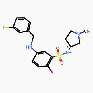 N#CN1CC[C@@H](NS(=O)(=O)c2cc(NCc3cccc(F)c3)ccc2I)C1